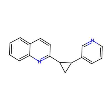 [CH]1C(c2cccnc2)C1c1ccc2ccccc2n1